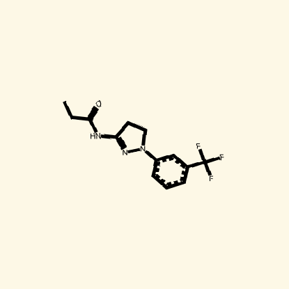 CCC(=O)NC1=NN(c2cccc(C(F)(F)F)c2)CC1